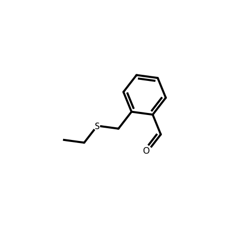 CCSCc1ccccc1C=O